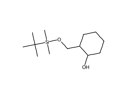 CC(C)(C)[Si](C)(C)OCC1CCCCC1O